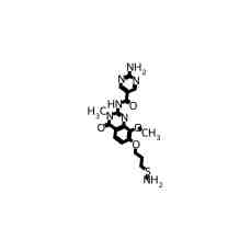 COc1c(OCCCSN)ccc2c(=O)n(C)c(NC(=O)c3cnc(N)nc3)nc12